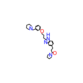 O=C(CCc1ccc2[nH]c(CCCOc3cccc(CN4CCCCC4)c3)nc2c1)N1CCCC1